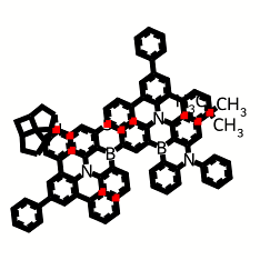 CC(C)(C)c1cc2c3c(c1)N(c1c(-c4ccccc4)cc(-c4ccccc4)cc1-c1ccccc1)c1cc4c(cc1B3c1ccccc1N2c1ccccc1)B1c2ccccc2N(c2c(-c3ccccc3)cc(-c3ccccc3)cc2-c2ccccc2)c2cc(N3C5CC6CC7CC3CC67C5)cc(c21)S4